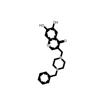 O=c1c(CN2CCN(Cc3ccccc3)CC2)coc2cc(O)c(O)cc12